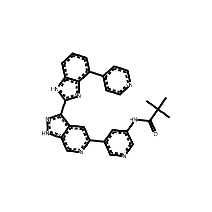 CC(C)(C)C(=O)Nc1cncc(-c2cc3c(-c4nc5c(-c6ccncc6)cccc5[nH]4)n[nH]c3cn2)c1